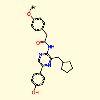 CC(C)Oc1ccc(CC(=O)Nc2ncc(-c3ccc(O)cc3)nc2CC2CCCC2)cc1